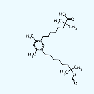 Cc1cc(C)c(CCCCCCC(C)(C)C(=O)O)cc1CCCCCCC(C)(C)OC=O